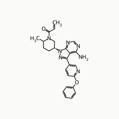 C=CC(=O)N1C[C@@H](n2nc(-c3ccc(Oc4ccccc4)nc3)c3c(N)ncnc32)CCC1C